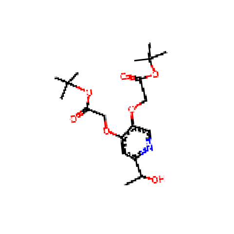 CC(O)c1cc(OCC(=O)OC(C)(C)C)c(OCC(=O)OC(C)(C)C)cn1